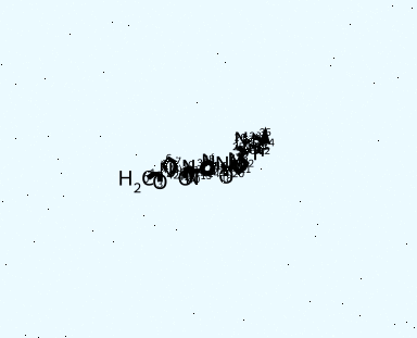 C=CC(=O)N1CCC[C@H](c2nc(-c3ccc(NC(=O)c4cccc(-c5cnn(CC6(C(F)(F)F)CC6)c5)n4)nc3)no2)C1